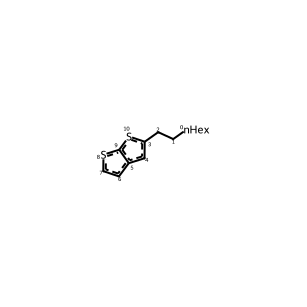 CCCCCCCCc1cc2ccsc2s1